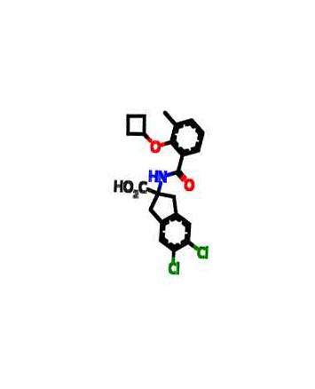 Cc1cccc(C(=O)NC2(C(=O)O)Cc3cc(Cl)c(Cl)cc3C2)c1OC1CCC1